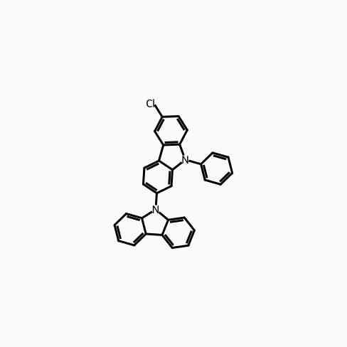 Clc1ccc2c(c1)c1ccc(-n3c4ccccc4c4ccccc43)cc1n2-c1ccccc1